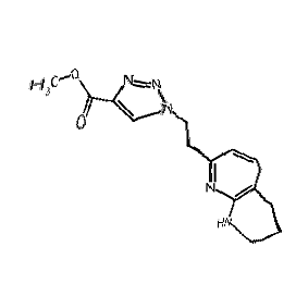 COC(=O)c1cn(CCc2ccc3c(n2)NCCC3)nn1